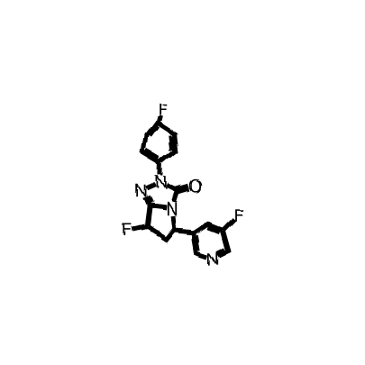 O=c1n(-c2ccc(F)cc2)nc2n1C(c1cncc(F)c1)CC2F